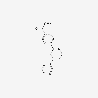 COC(=O)c1ccc(C2CC(c3cccnc3)CCN2)cc1